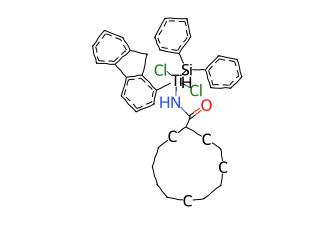 O=C([NH][Ti]([Cl])([Cl])([c]1cccc2c1Cc1ccccc1-2)[SiH](c1ccccc1)c1ccccc1)C1CCCCCCCCCCC1